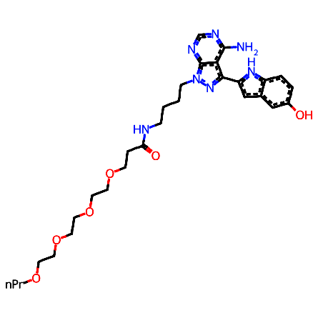 CCCOCCOCCOCCOCCC(=O)NCCCCn1nc(-c2cc3cc(O)ccc3[nH]2)c2c(N)ncnc21